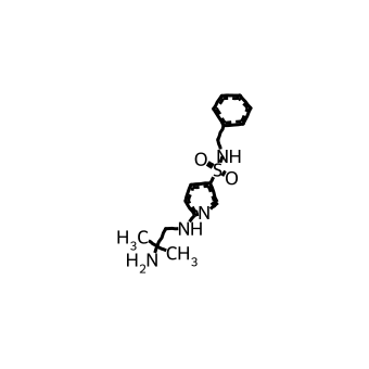 CC(C)(N)CNc1ccc(S(=O)(=O)NCc2ccccc2)cn1